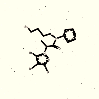 CC(C(=O)N(CCCCC(C)(C)C)c1ccccc1)n1nc(Br)c(Br)c1Br